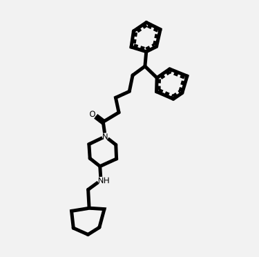 O=C(CCCCC(c1ccccc1)c1ccccc1)N1CCC(NCC2CCCCC2)CC1